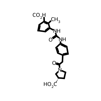 Cc1c(NC(=O)Nc2ccc(CC(=O)N3CC[C@H](C(=O)O)C3)cc2)cccc1C(=O)O